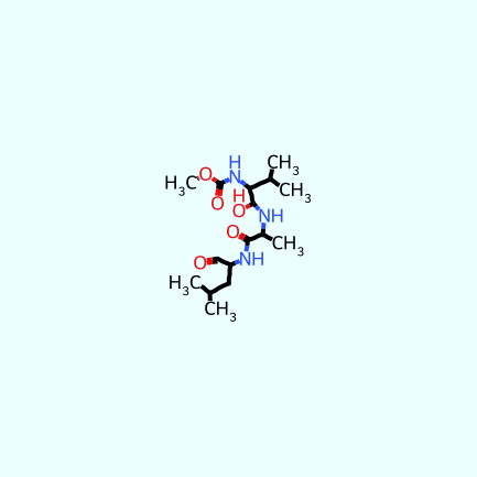 COC(=O)NC(C(C)C)C(O)NC(C)C(=O)NC(C=O)CC(C)C